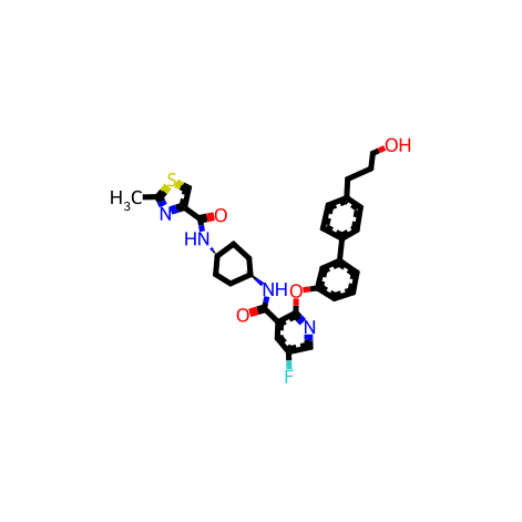 Cc1nc(C(=O)N[C@H]2CC[C@H](NC(=O)c3cc(F)cnc3Oc3cccc(-c4ccc(CCCO)cc4)c3)CC2)cs1